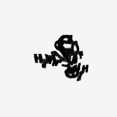 CC(NC(=O)O)c1nc2c(F)ccc(Cl)c2c(=O)n1-c1ccc(N)nc1